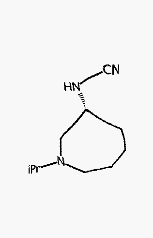 CC(C)N1CCCC[C@@H](NC#N)C1